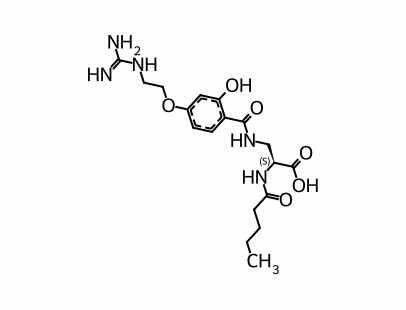 CCCCC(=O)N[C@@H](CNC(=O)c1ccc(OCCNC(=N)N)cc1O)C(=O)O